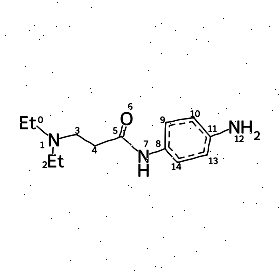 CCN(CC)CCC(=O)Nc1ccc(N)cc1